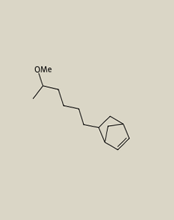 COC(C)CCCCC1CC2C=CC1C2